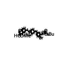 COC1(OC)c2cc(CCN3CCC(Cc4ccc(Br)c(COC(=O)OC(C)(C)C)c4)CC3)ccc2OCC1O